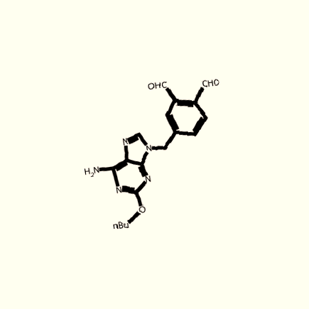 CCCCOc1nc(N)c2ncn(Cc3ccc(C=O)c(C=O)c3)c2n1